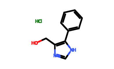 Cl.OCc1nc[nH]c1-c1ccccc1